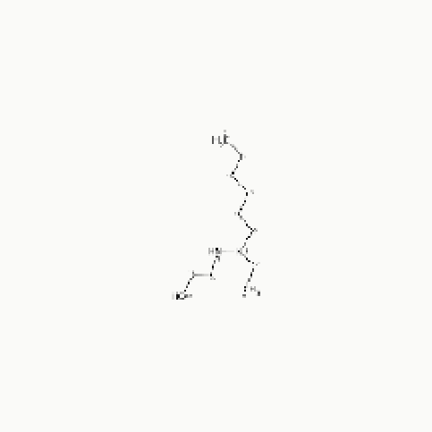 CCCCCCN(CC)NCCO